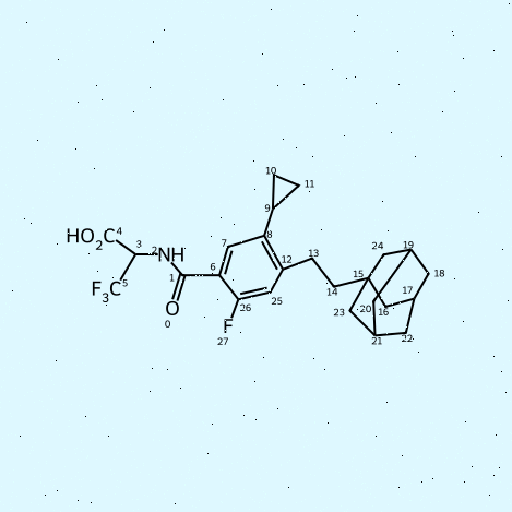 O=C(NC(C(=O)O)C(F)(F)F)c1cc(C2CC2)c(CCC23CC4CC(CC(C4)C2)C3)cc1F